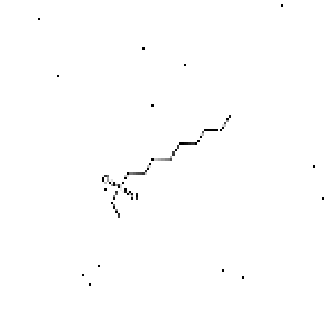 C[CH]S(=O)(=O)CCCCCCCCC